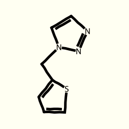 c1csc(Cn2ccnn2)c1